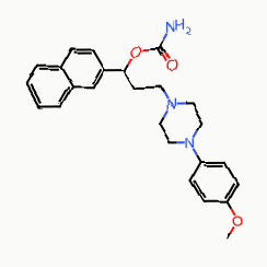 COc1ccc(N2CCN(CCC(OC(N)=O)c3ccc4ccccc4c3)CC2)cc1